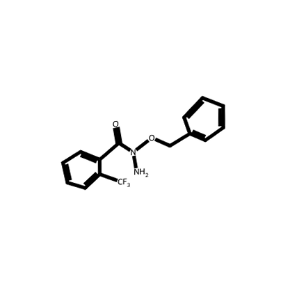 NN(OCc1ccccc1)C(=O)c1ccccc1C(F)(F)F